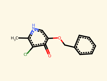 Cc1[nH]cc(OCc2ccccc2)c(=O)c1Cl